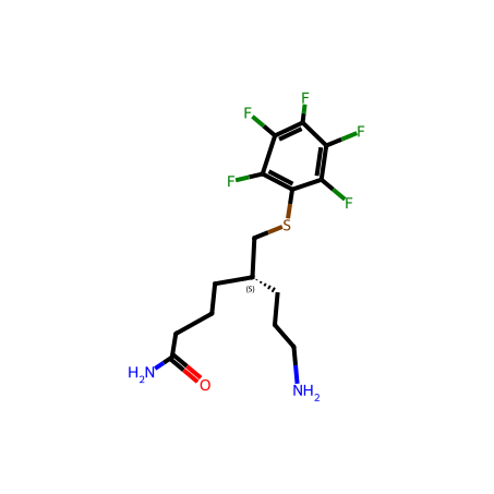 NCCC[C@H](CCCC(N)=O)CSc1c(F)c(F)c(F)c(F)c1F